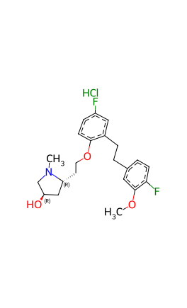 COc1cc(CCc2cc(F)ccc2OCC[C@@H]2C[C@@H](O)CN2C)ccc1F.Cl